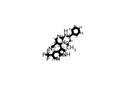 COC[C@@H](Nc1ncc(C#N)c(-c2c[nH]c3ncc(C(F)(F)F)cc23)n1)c1ccccc1